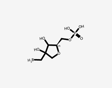 BCC1(O)CO[C@H](COP(=O)(O)O)C1O